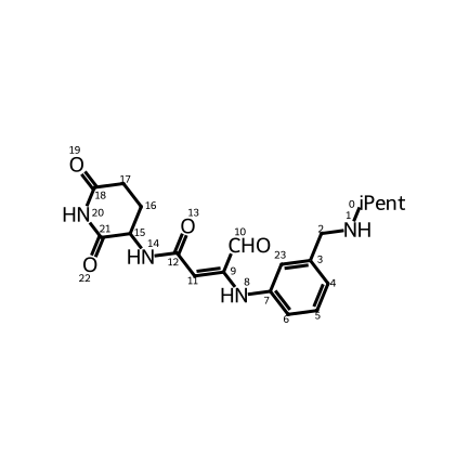 CCCC(C)NCc1cccc(N/C(C=O)=C/C(=O)NC2CCC(=O)NC2=O)c1